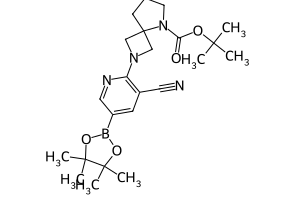 CC(C)(C)OC(=O)N1CCCC12CN(c1ncc(B3OC(C)(C)C(C)(C)O3)cc1C#N)C2